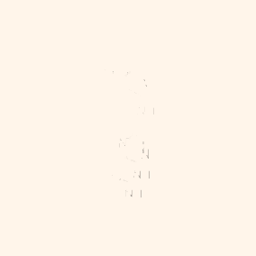 CNC(=O)Nc1cnc(CNc2cc(C)cc(OC)c2)cn1